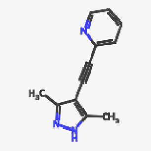 Cc1n[nH]c(C)c1C#Cc1ccccn1